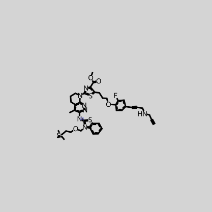 C#CCNCC#Cc1ccc(OCCCc2sc(N3CCCc4c3nnc(/N=c3\sc5ccccc5n3COCC[Si](C)(C)C)c4C)nc2C(=O)OC)c(F)c1